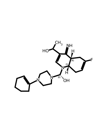 CC(O)C1=CN([C@H](O)N2CCN(C3=CCCCC3)CC2)[C@H]2CC=C(F)C[C@H]2C1=N